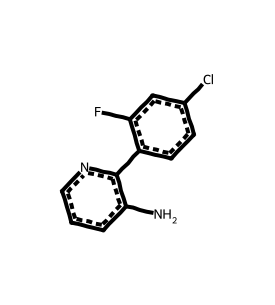 Nc1cccnc1-c1ccc(Cl)cc1F